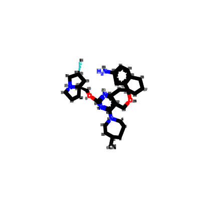 N#CC1CCCN(c2nc(OC[C@@]34CCCN3C[C@H](F)C4)nc3c2COC2(CCCc4ccc(N)cc42)C3)CC1